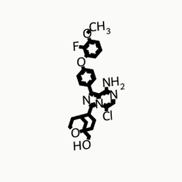 COc1cccc(Oc2ccc(-c3nc(C4CCC5(CO)CC4CCO5)n4c(Cl)cnc(N)c34)cc2)c1F